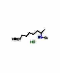 CCCCCCCCCCCCC(C)NCC.Cl